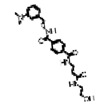 CN(C)c1cccc(C=NNC(=O)c2ccc(C(=O)NCCC(=O)NCCO)cc2)c1